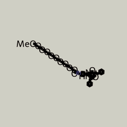 COCCOCCOCCOCCOCCOCCOCCOCCOCCOC(=O)/C=C/c1ccc(-c2nc3c(=O)n(CCc4ccccc4)c(=O)n(CCc4ccccc4)c3[nH]2)cc1